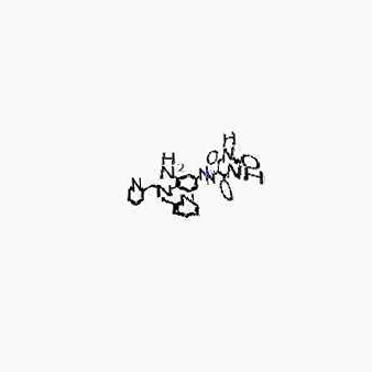 Nc1cc(/N=N/C2C(=O)NC(=O)NC2=O)ccc1N(Cc1ccccn1)Cc1ccccn1